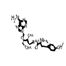 Nc1ncnc2c1ncn2CO[C@H](CO)[C@H](O)CNC(=O)C(N)Cc1ccc(O)cc1